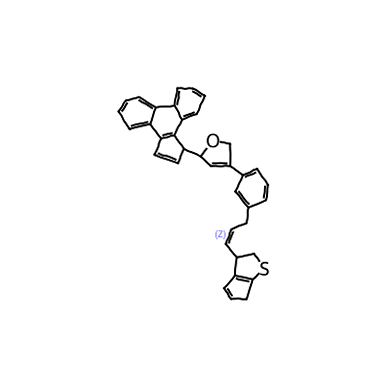 C1=CC2=C(C1)SCC2/C=C\Cc1cccc(C2=CC(C3C=Cc4c3c3ccccc3c3ccccc43)OC2)c1